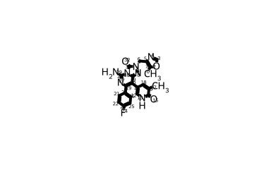 Cc1ocnc1Cn1nc2c(-c3c[nH]c(=O)c(C)c3)c(-c3ccc(F)cc3)nc(N)n2c1=O